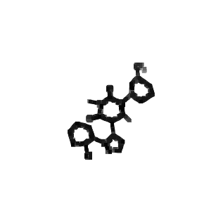 Cc1c(-c2ccnn2-c2ccccc2Cl)c(=O)n(C)c(=O)n1-c1cccc(C(F)(F)F)c1